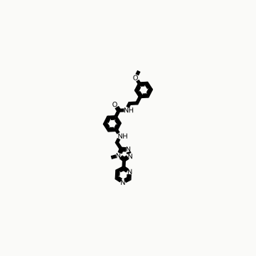 COc1cccc(CCNC(=O)c2cccc(NCc3nnc(-c4ccncn4)n3C)c2)c1